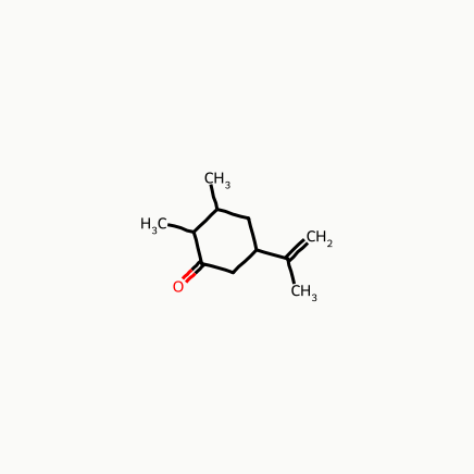 C=C(C)C1CC(=O)C(C)C(C)C1